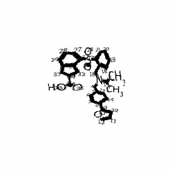 CC(C)N(Cc1ccc(-c2ccco2)cc1)Cc1ccccc1S(=O)(=O)c1cccc2c1C[C@@H](C(=O)O)C2